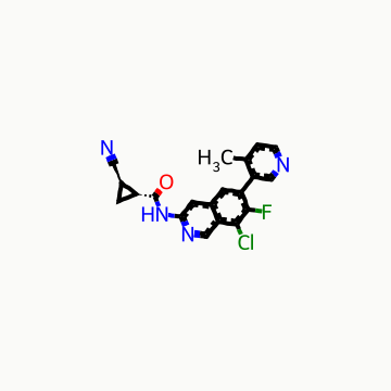 Cc1ccncc1-c1cc2cc(NC(=O)[C@@H]3C[C@H]3C#N)ncc2c(Cl)c1F